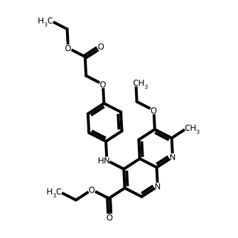 CCOC(=O)COc1ccc(Nc2c(C(=O)OCC)cnc3nc(C)c(OCC)cc23)cc1